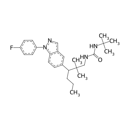 CCCC(c1ccc2c(cnn2-c2ccc(F)cc2)c1)C(C)(C)CNC(=O)NC(C)(C)C